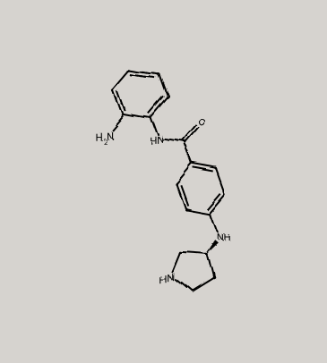 Nc1ccccc1NC(=O)c1ccc(N[C@H]2CCNC2)cc1